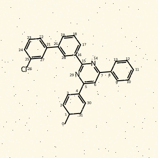 CC1C=CC(c2cc(-c3ccccc3)nc(-c3cccc(-c4cccc(Cl)c4)c3)n2)=CC1